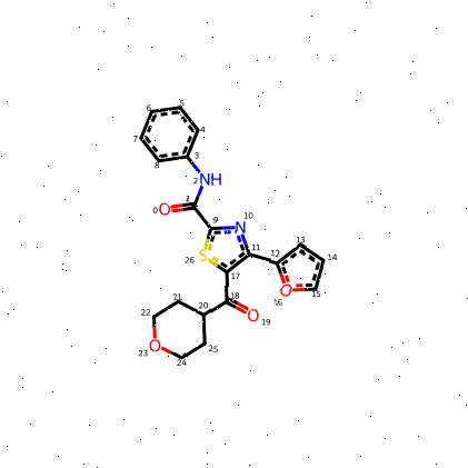 O=C(Nc1ccccc1)c1nc(-c2ccco2)c(C(=O)C2CCOCC2)s1